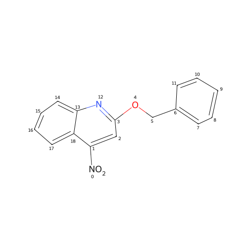 O=[N+]([O-])c1cc(OCc2ccccc2)nc2ccccc12